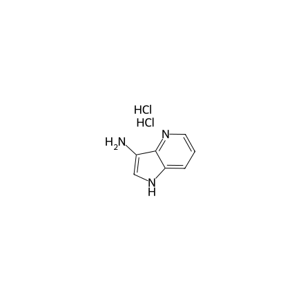 Cl.Cl.Nc1c[nH]c2cccnc12